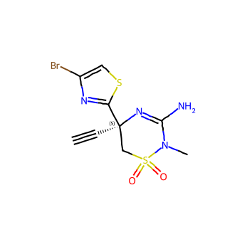 C#C[C@@]1(c2nc(Br)cs2)CS(=O)(=O)N(C)C(N)=N1